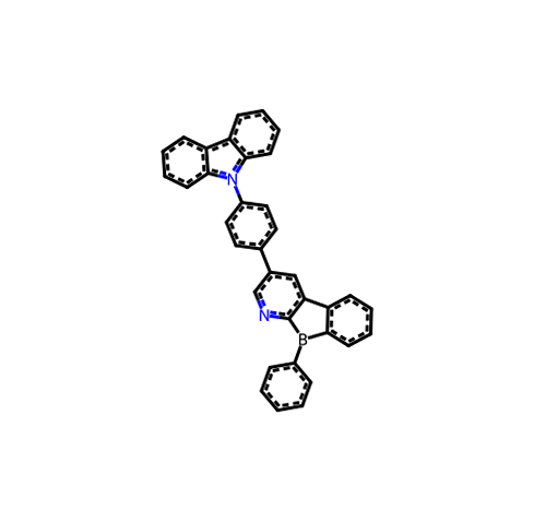 c1ccc(B2c3ccccc3-c3cc(-c4ccc(-n5c6ccccc6c6ccccc65)cc4)cnc32)cc1